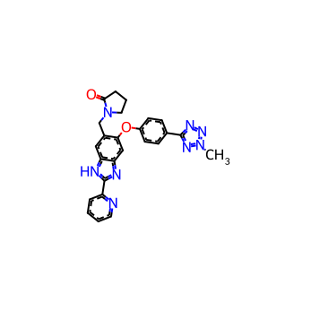 Cn1nnc(-c2ccc(Oc3cc4nc(-c5ccccn5)[nH]c4cc3CN3CCCC3=O)cc2)n1